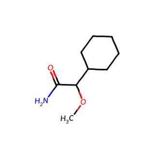 COC(C(N)=O)C1CCCCC1